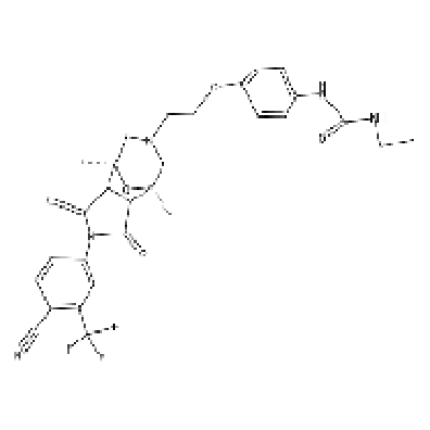 CCNC(=O)Nc1ccc(OCCN2C[C@@]3(C)O[C@@](C)(C2)C2C(=O)N(c4ccc(C#N)c(C(F)(F)F)c4)C(=O)C23)cc1